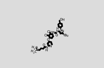 CN(C)CCCC(=O)Nc1cc(Oc2ccc(NC(=O)Nc3cc(C(C)(C)C)nn3-c3ccc(CO)cc3)c(Cl)c2Cl)ccn1